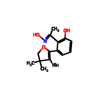 CC(=NO)c1c(O)cccc1C1=C(C(C)(C)C)C(C)(C)CO1